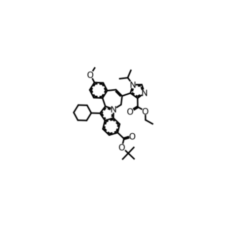 CCOC(=O)c1ncn(C(C)C)c1C1=Cc2cc(OC)ccc2-c2c(C3CCCCC3)c3ccc(C(=O)OC(C)(C)C)cc3n2C1